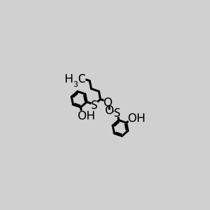 CCCCC(OOSc1ccccc1O)Sc1ccccc1O